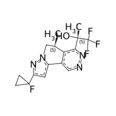 C[C@@H]1Cn2nc(C3(F)CC3)cc2-c2cnnc([C@](C)(O)C(F)(F)F)c21